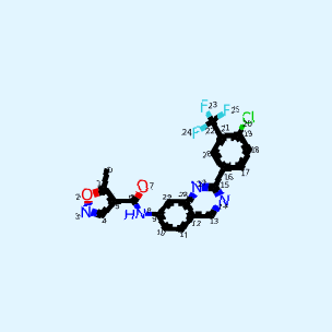 Cc1oncc1C(=O)Nc1ccc2cnc(-c3ccc(Cl)c(C(F)(F)F)c3)nc2c1